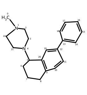 CN1CCN(C2CCCc3ccc(-c4ccccc4)cc32)CC1